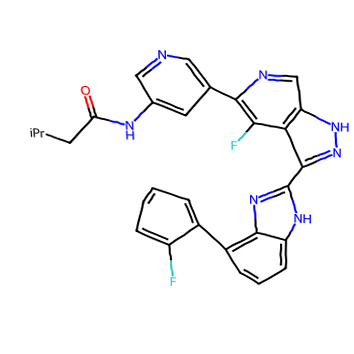 CC(C)CC(=O)Nc1cncc(-c2ncc3[nH]nc(-c4nc5c(-c6ccccc6F)cccc5[nH]4)c3c2F)c1